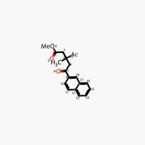 COC(=O)CC(C)(CC(=O)c1ccc2ccccc2c1)C(C)=O